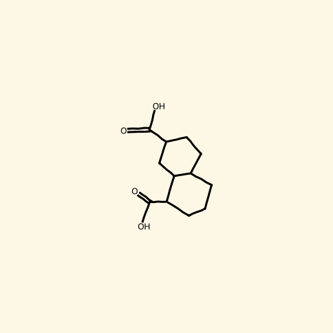 O=C(O)C1CCC2CCCC(C(=O)O)C2C1